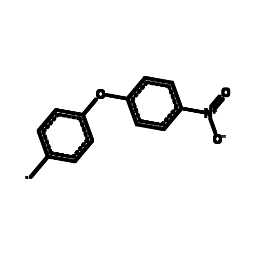 [CH2]c1ccc(Oc2ccc([N+](=O)[O-])cc2)cc1